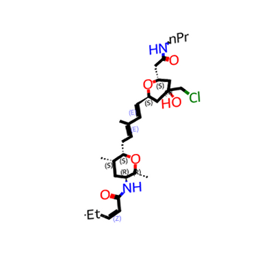 C[CH]/C=C\C(=O)N[C@@H]1C[C@H](C)[C@H](C/C=C(C)/C=C/[C@@H]2C[C@@](O)(CCl)C[C@@H](CC(=O)NCCC)O2)O[C@@H]1C